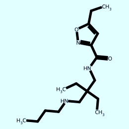 CCCCNCC(CC)(CC)CNC(=O)c1cc(CC)on1